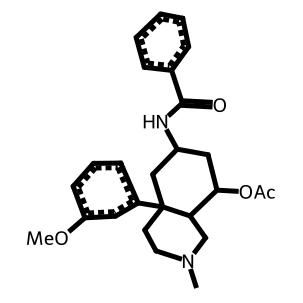 COc1cccc(C23CCN(C)CC2C(OC(C)=O)CC(NC(=O)c2ccccc2)C3)c1